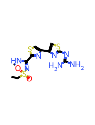 CCS(=O)(=O)N=C(NC)c1nc(-c2csc(N=C(N)N)n2)cs1